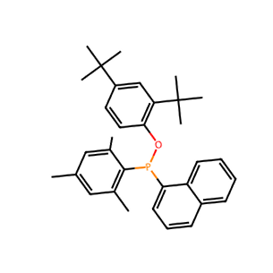 Cc1cc(C)c(P(Oc2ccc(C(C)(C)C)cc2C(C)(C)C)c2cccc3ccccc23)c(C)c1